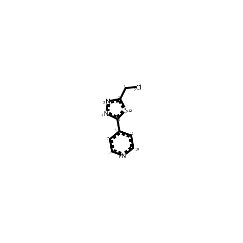 ClCc1nnc(-c2ccncc2)s1